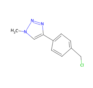 Cn1cc(-c2ccc(CCl)cc2)nn1